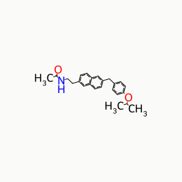 CC(=O)NCCc1ccc2cc(Cc3ccc(OC(C)C)cc3)ccc2c1